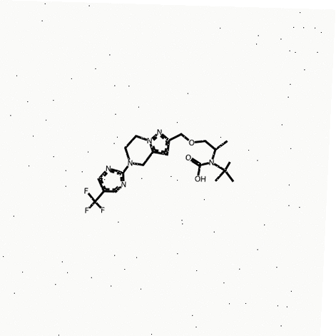 CC(COCc1cc2n(n1)CCN(c1ncc(C(F)(F)F)cn1)C2)N(C(=O)O)C(C)(C)C